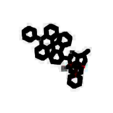 CCC1=C(\c2ccccc2)CC/C(C)=C(c2ccccc2)/N=C\1c1cccc2c1-c1ccccc1C21c2ccccc2N(c2ccccc2)c2ccccc21